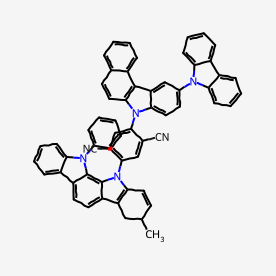 CC1C=Cc2c(c3ccc4c5ccccc5n(-c5ccccc5)c4c3n2-c2cc(C#N)c(-n3c4ccc(-n5c6ccccc6c6ccccc65)cc4c4c5ccccc5ccc43)cc2C#N)C1